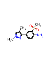 Cc1cn(C)nc1-c1ccc(N)c(S(C)(=O)=O)c1